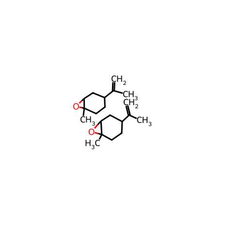 C=C(C)C1CCC2(C)OC2C1.C=C(C)C1CCC2(C)OC2C1